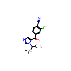 CC(C)n1cncc1C(=O)c1ccc(C#N)c(Cl)c1